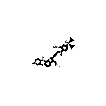 COc1cc(P(=O)(C2CC2)C2CC2)ccc1NCC#Cc1sc2c(NC3CCN(C)CC3F)cccc2c1CC(F)(F)F